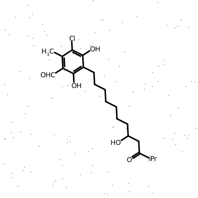 Cc1c(Cl)c(O)c(CCCCCCCC(O)CC(=O)C(C)C)c(O)c1C=O